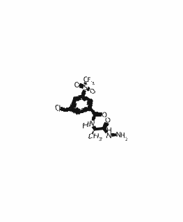 C[C@H](NC(=O)c1cc(Cl)cc(S(=O)(=O)C(F)(F)F)c1)C(=O)NN